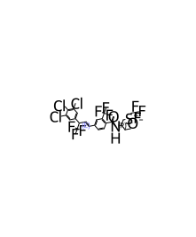 CC[C@H](C[S+]([O-])CC(F)(F)F)NC(=O)c1ccc(/C=C/C(c2cc(Cl)c(Cl)c(Cl)c2)C(F)(F)F)cc1C(F)(F)F